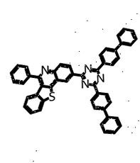 c1ccc(-c2ccc(-c3nc(-c4ccc(-c5ccccc5)cc4)nc(-c4ccc5nc(-c6ccccc6)c6c7ccccc7sc6c5c4)n3)cc2)cc1